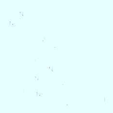 CCOc1ccc2nc(Cl)nc(Nc3ccc(-c4cn[nH]c4)cc3)c2c1